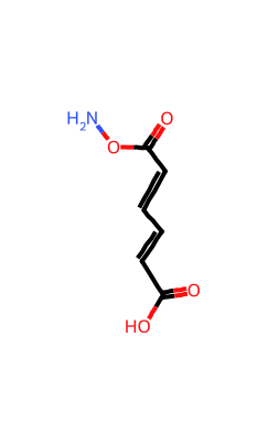 NOC(=O)/C=C/C=C/C(=O)O